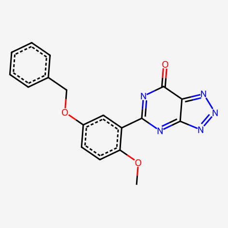 COc1ccc(OCc2ccccc2)cc1C1=NC(=O)C2=NN=NC2=N1